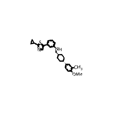 COc1ccc([C@H]2CC[C@H](CNc3cccc(-c4cnc(C5CC5)s4)c3)CC2)cc1C